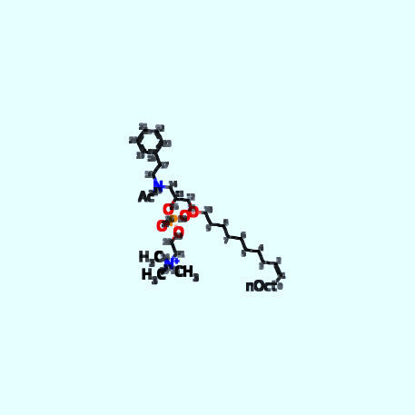 CCCCCCCC/C=C\CCCCCCCCOCC(CN(CCc1ccccc1)C(C)=O)OP(=O)([O-])OCC[N+](C)(C)C